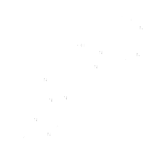 CSc1nsc(/N=N/c2cc(/N=N/c3snc4ncccc34)c(O)cc2N(C)C)n1